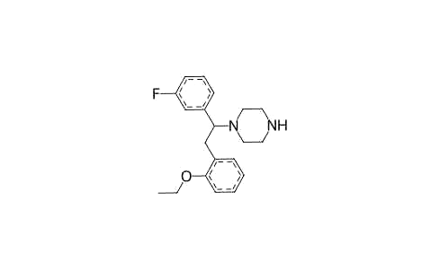 CCOc1ccccc1CC(c1cccc(F)c1)N1CCNCC1